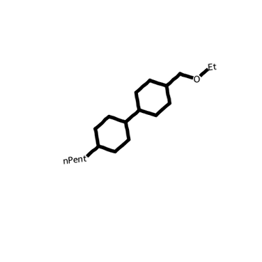 CCCCCC1CCC(C2CCC(COCC)CC2)CC1